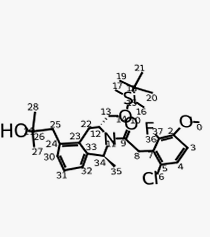 COc1ccc(Cl)c(CC(=O)N2[C@@H](CO[Si](C)(C)C(C)(C)C)Cc3c(CC(C)(C)O)cccc3[C@@H]2C)c1F